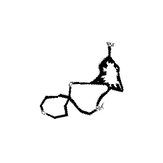 Brc1ccc2c(c1)OC1(CCOCC1)CN2